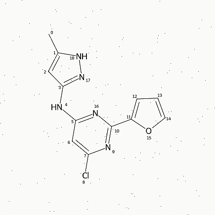 Cc1cc(Nc2cc(Cl)nc(-c3ccco3)n2)n[nH]1